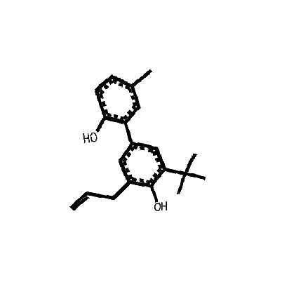 C=CCc1cc(-c2cc(C)ccc2O)cc(C(C)(C)C)c1O